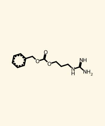 N=C(N)NCCCOC(=O)OCc1ccccc1